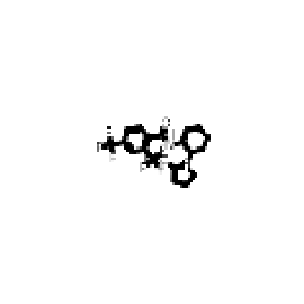 CC1CCCN1C1CCCCC1NC(=O)c1ccc(C(F)(F)F)cc1C(F)(F)F